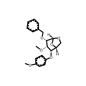 COc1ccc(O[C@H]2[C@H](OC)[C@H](OCc3ccccc3)[C@@H]3OC[C@H]2O3)cc1